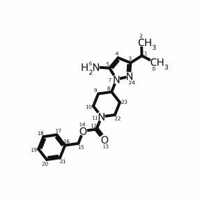 CC(C)c1cc(N)n(C2CCN(C(=O)OCc3ccccc3)CC2)n1